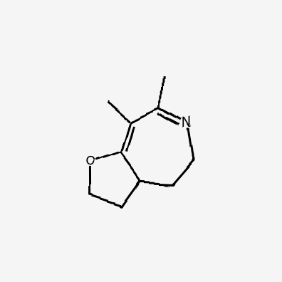 CC1=NCCC2CCOC2=C1C